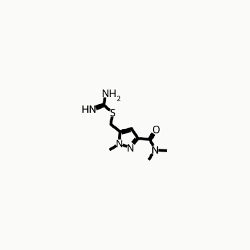 CN(C)C(=O)c1cc(CSC(=N)N)n(C)n1